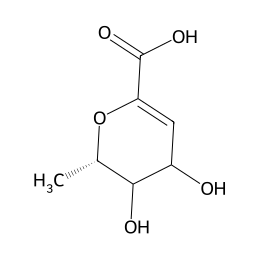 C[C@@H]1OC(C(=O)O)=CC(O)C1O